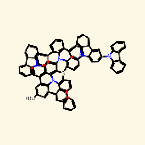 CC(C)(C)c1cc(-c2ccccc2)c(N2c3cc(-c4ccccc4)ccc3B3c4ccc(-n5c6ccccc6c6cc(-n7c8ccccc8c8ccccc87)ccc65)cc4N(c4c(-c5ccccc5)cccc4-c4ccccc4)c4cc(-n5c6ccccc6c6ccccc65)cc2c43)c(-c2ccccc2)c1